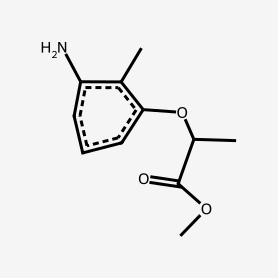 COC(=O)C(C)Oc1cccc(N)c1C